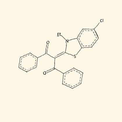 CCN1C(=C(C(=O)c2ccccc2)C(=O)c2ccccc2)Sc2ccc(Cl)cc21